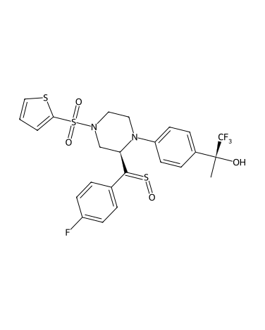 C[C@@](O)(c1ccc(N2CCN(S(=O)(=O)c3cccs3)C[C@@H]2C(=S=O)c2ccc(F)cc2)cc1)C(F)(F)F